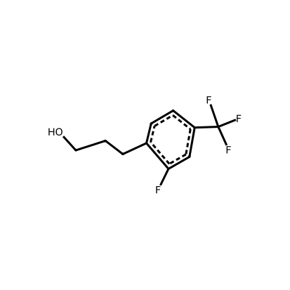 OCCCc1ccc(C(F)(F)F)cc1F